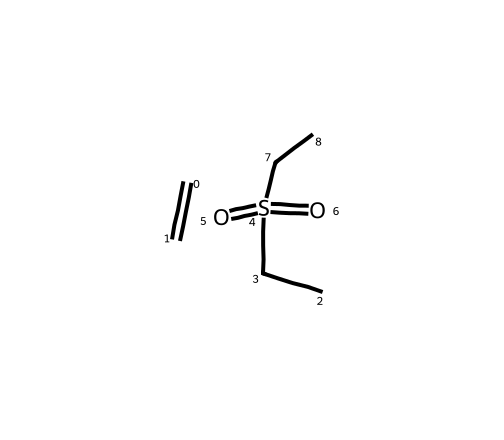 C=C.CCS(=O)(=O)CC